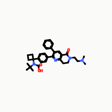 CN(C)CCN1CCc2nc(-c3ccc(C4(N(C(=O)O)C(C)(C)C)CCC4)cc3)c(-c3ccccc3)cc2C1=O